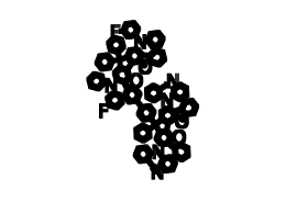 N#Cc1ccccc1N(c1ccccc1)c1cc2c(c3oc4ccccc4c13)-c1c(cc(N(c3ccccc3)c3ccccc3C#N)c3c1oc1ccccc13)C2(c1ccccc1)c1ccc(-c2ccc3c(c2)oc2c4c(cc(N(c5ccccc5)c5cccc(F)c5)c23)C(c2ccccc2)(c2ccccc2)c2cc(N(c3ccccc3)c3cccc(F)c3)c3c(oc5ccccc53)c2-4)cc1